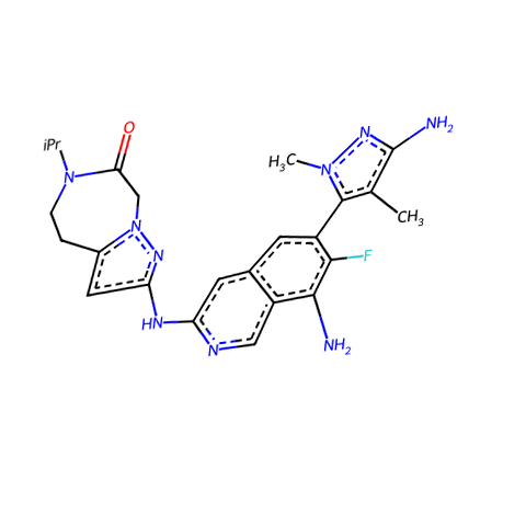 Cc1c(N)nn(C)c1-c1cc2cc(Nc3cc4n(n3)CC(=O)N(C(C)C)CC4)ncc2c(N)c1F